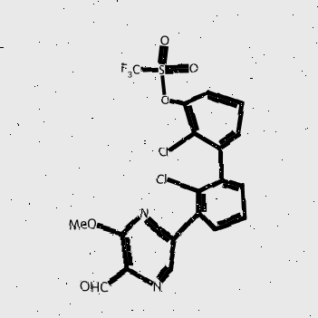 COc1nc(-c2cccc(-c3cccc(OS(=O)(=O)C(F)(F)F)c3Cl)c2Cl)cnc1C=O